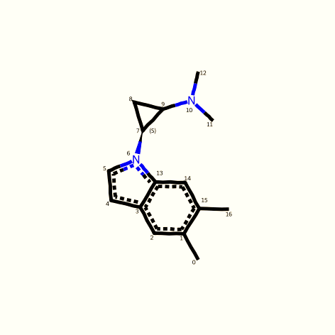 Cc1cc2ccn([C@H]3CC3N(C)C)c2cc1C